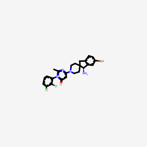 Cc1nc(N2CCC3(CC2)Cc2ccc(S)cc2[C@H]3N)cc(=O)n1-c1cccc(Cl)c1Cl